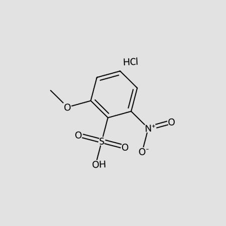 COc1cccc([N+](=O)[O-])c1S(=O)(=O)O.Cl